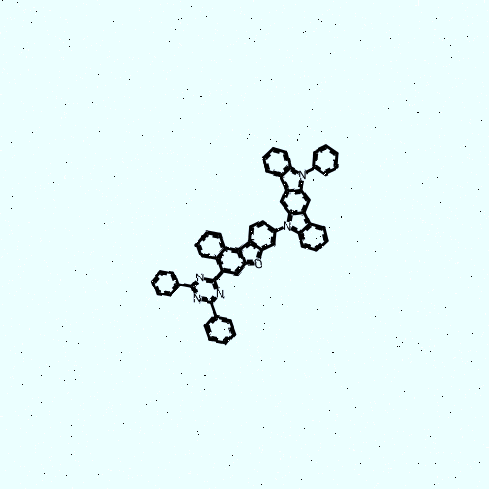 c1ccc(-c2nc(-c3ccccc3)nc(-c3cc4oc5cc(-n6c7ccccc7c7cc8c(cc76)c6ccccc6n8-c6ccccc6)ccc5c4c4ccccc34)n2)cc1